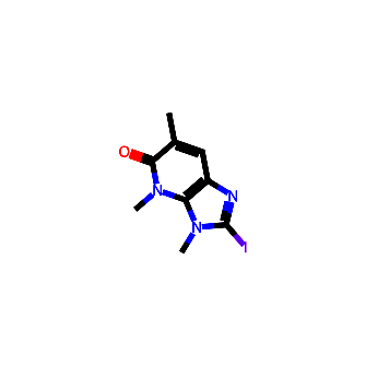 Cc1cc2nc(I)n(C)c2n(C)c1=O